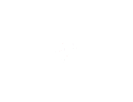 [O-][PH]([O-])([O-])P.[Rh+3]